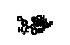 CC(c1ccc(Cl)cc1)C(CNC(=O)C(C)(C)Oc1cc(F)cc(F)c1)c1ccc[n+]([O-])c1